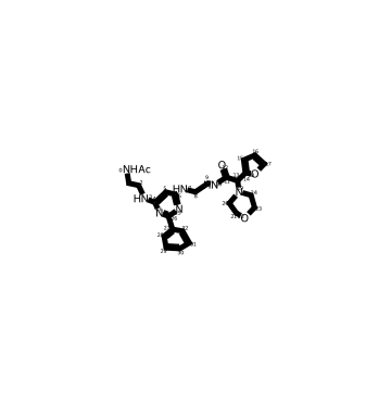 CC(=O)NCCNc1cc(NCCNC(=O)C(c2ccco2)N2CCOCC2)nc(-c2ccccc2)n1